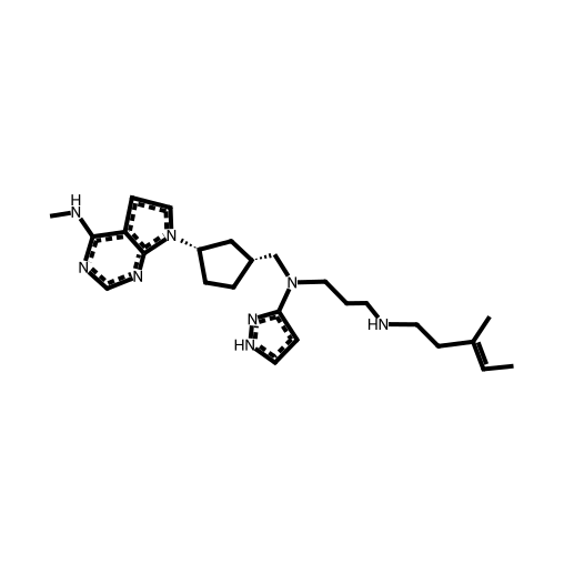 C/C=C(\C)CCNCCCN(C[C@@H]1CC[C@H](n2ccc3c(NC)ncnc32)C1)c1cc[nH]n1